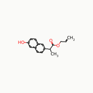 C=CCOC(=O)C(C)c1ccc2cc(O)ccc2c1